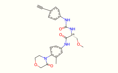 C#Cc1ccc(NC(=O)N[C@H](COC)C(=O)Nc2ccc(N3CCOCC3=O)c(C)c2)cc1